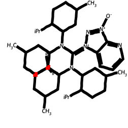 CC1CCC(C(C)C)C(N(C(N(C2CC(C)CCC2C(C)C)C2CC(C)CCC2C(C)C)=[N+]2N=[N+]([O-])c3ncccc32)C2CC(C)CCC2C(C)C)C1